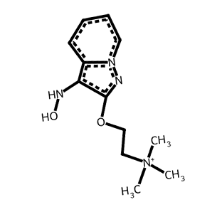 C[N+](C)(C)CCOc1nn2ccccc2c1NO